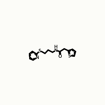 O=C(Cc1cccs1)NCCCSc1ccccn1